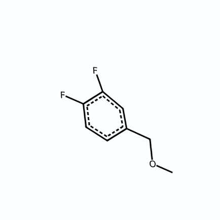 COCc1ccc(F)c(F)c1